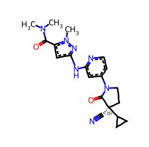 CN(C)C(=O)c1cc(Nc2cc(N3CC[C@@](C#N)(C4CC4)C3=O)ccn2)nn1C